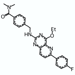 CCOc1nc(NCc2ccc(C(=O)N(C)C)cc2)nc2ccc(-c3ccc(F)cc3)nc12